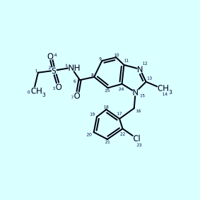 CCS(=O)(=O)NC(=O)c1ccc2nc(C)n(Cc3ccccc3Cl)c2c1